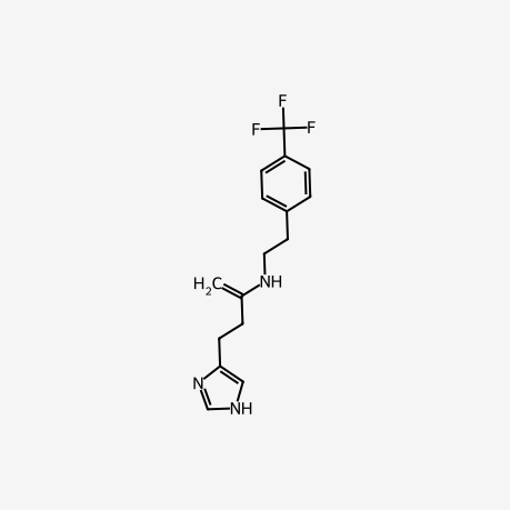 C=C(CCc1c[nH]cn1)NCCc1ccc(C(F)(F)F)cc1